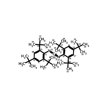 CC(C)(C)c1cc(C(C)(C)C)c(N=C=Nc2c(C(C)(C)C)cc(C(C)(C)C)cc2C(C)(C)C)c(C(C)(C)C)c1